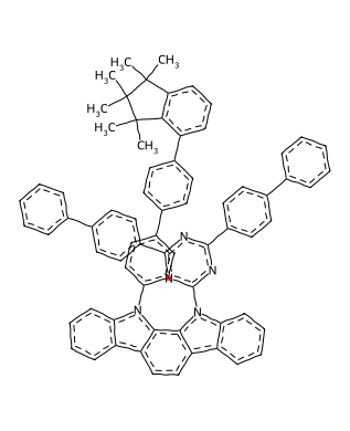 CC1(C)c2cccc(-c3ccc(-c4ccc(-n5c6ccccc6c6ccc7c8ccccc8n(-c8nc(-c9ccc(-c%10ccccc%10)cc9)nc(-c9ccc(-c%10ccccc%10)cc9)n8)c7c65)cc4)cc3)c2C(C)(C)C1(C)C